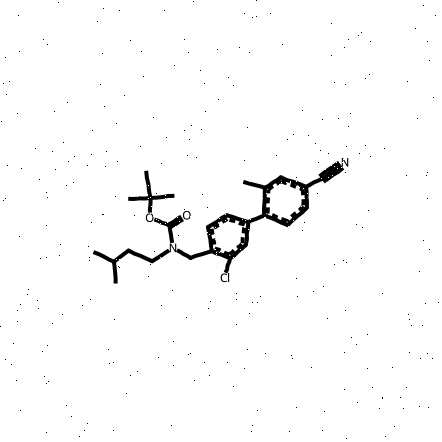 Cc1cc(C#N)ccc1-c1ccc(CN(CCC(C)C)C(=O)OC(C)(C)C)c(Cl)c1